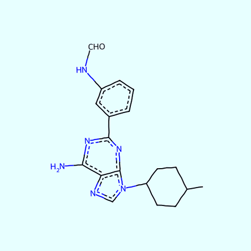 CC1CCC(n2cnc3c(N)nc(-c4cccc(NC=O)c4)nc32)CC1